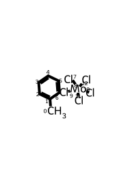 Cc1ccccc1.[Cl][Mo]([Cl])([Cl])([Cl])[Cl]